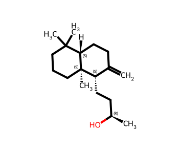 C=C1CC[C@H]2C(C)(C)CCC[C@]2(C)[C@H]1CC[C@@H](C)O